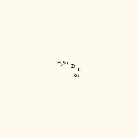 [Ru].[SnH2].[Ti].[Zr]